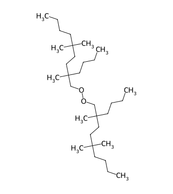 CCCCC(C)(C)CCC(C)(CCCC)COOCC(C)(CCCC)CCC(C)(C)CCCC